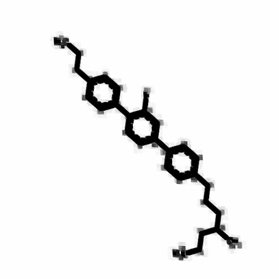 CCCc1ccc(-c2ccc(-c3ccc(CCCC(C)CCC)cc3)cc2F)cc1